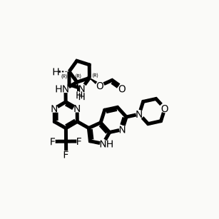 O=CO[C@@]12CC[C@H](CN1)[C@H]2Nc1ncc(C(F)(F)F)c(-c2c[nH]c3nc(N4CCOCC4)ccc23)n1